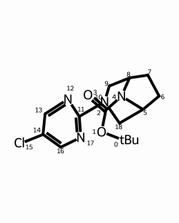 CC(C)(C)OC(=O)N1C2CCC1CN(c1ncc(Cl)cn1)C2